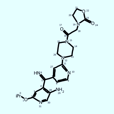 CC(C)Oc1cc(C(=N)c2ccnc(N3CCN(C(=O)CN4CCOC4=O)CC3)c2)c(N)cn1